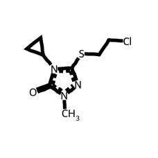 Cn1nc(SCCCl)n(C2CC2)c1=O